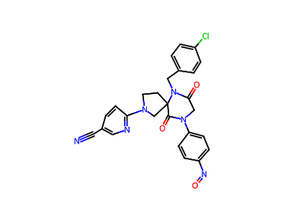 N#Cc1ccc(N2CCC3(C2)C(=O)N(c2ccc(N=O)cc2)CC(=O)N3Cc2ccc(Cl)cc2)nc1